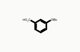 CC(C)COc1c[c]cc(C(=O)O)c1